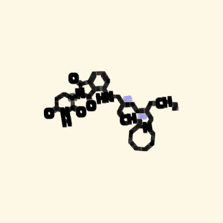 C=C/C(=C\C=C(/C=C)CN1CCCCCCC1)CNc1cccc2c1C(=O)N([C@@H]1CCC(=O)NC1=O)C2=O